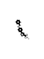 CC(=O)C1CC(c2ccc(OCc3ccccc3)cc2)=NO1